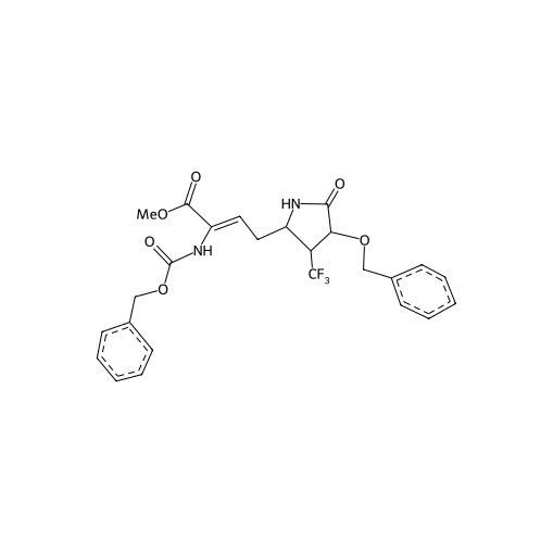 COC(=O)/C(=C/CC1NC(=O)C(OCc2ccccc2)C1C(F)(F)F)NC(=O)OCc1ccccc1